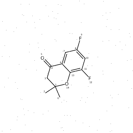 CC1(C)CC(=O)c2cc(F)cc(F)c2O1